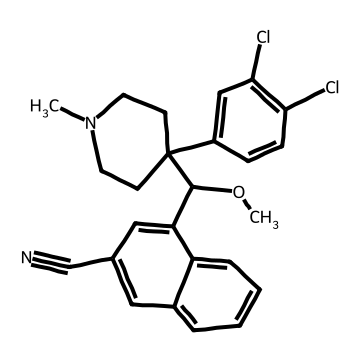 COC(c1cc(C#N)cc2ccccc12)C1(c2ccc(Cl)c(Cl)c2)CCN(C)CC1